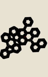 c1ccc(-c2ccccc2-c2ccccc2N(c2ccc3c(c2)-c2ccccc2C32c3ccccc3-n3c4ccccc4c4cccc2c43)c2cccc3ccccc23)cc1